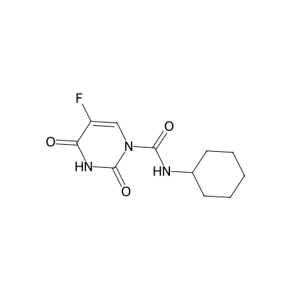 O=C(NC1CCCCC1)n1cc(F)c(=O)[nH]c1=O